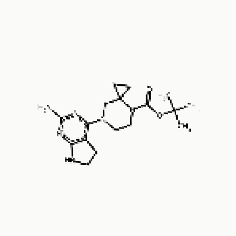 CC(C)(C)OC(=O)N1CCN(c2nc(N)nc3c2CCN3)CC12CC2